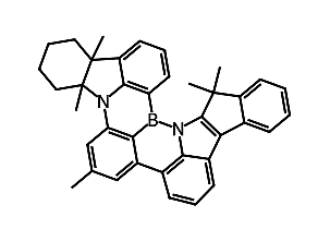 Cc1cc2c3c(c1)N1c4c(cccc4C4(C)CCCCC14C)B3n1c3c(c4cccc-2c41)-c1ccccc1C3(C)C